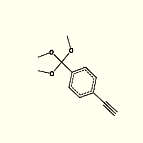 C#Cc1ccc(C(OC)(OC)OC)cc1